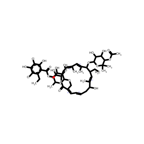 CCc1c(Cl)c(O)c(Cl)c(O)c1C(=O)OC1C(C)OC(OC/C2=C\C=C\CC(O)/C(C)=C/C(CC)C(OC3OC(C)(C)C(OC(C)=O)C(O)C3O)/C(C)=C/C(C)=C/CC(C(C)O)OC2=O)C(OC)C1O